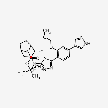 COCOc1cc(-c2cn[nH]c2)ccc1-c1nnc(N(C)[C@@H]2CC3CCC([C@@H]2F)N3C(=O)OC(C)(C)C)s1